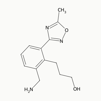 Cc1nc(-c2cccc(CN)c2CCCO)no1